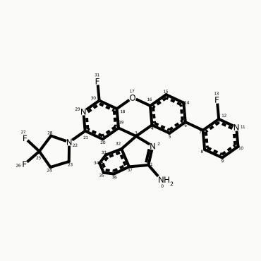 NC1=NC2(c3cc(-c4cccnc4F)ccc3Oc3c2cc(N2CCC(F)(F)C2)nc3F)c2ccccc21